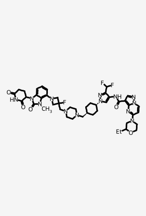 CCC1CN(c2ccn3ncc(C(=O)Nc4cn([C@H]5CC[C@H](CN6CCN(CC7(F)CN(c8cccc9c8n(C)c(=O)n9C8CCC(=O)NC8=O)C7)CC6)CC5)nc4C(F)F)c3n2)CCO1